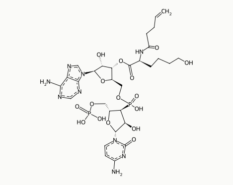 C=CCCC(=O)N[C@@H](CCCCO)C(=O)O[C@H]1[C@@H](O)[C@H](n2cnc3c(N)ncnc32)O[C@@H]1COP(=O)(O)[C@H]1[C@@H](O)[C@H](n2ccc(N)nc2=O)O[C@@H]1COP(=O)(O)O